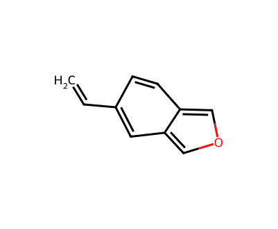 C=Cc1ccc2cocc2c1